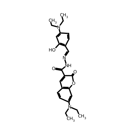 CCN(CC)c1ccc(C=NNC(=O)c2cc3ccc(N(CC)CC)cc3oc2=O)c(O)c1